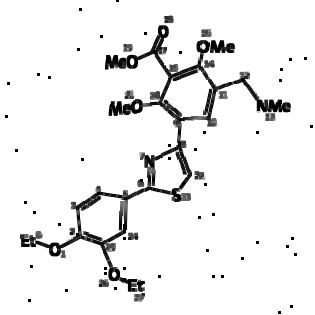 CCOc1ccc(-c2nc(-c3cc(CNC)c(OC)c(C(=O)OC)c3OC)cs2)cc1OCC